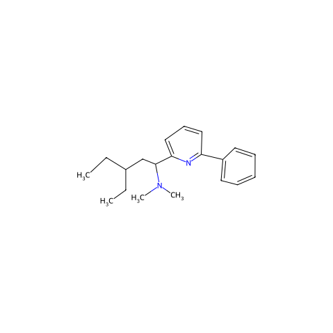 CCC(CC)CC(c1cccc(-c2ccccc2)n1)N(C)C